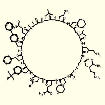 CC(C)C[C@H]1NC(=O)[C@H](C)N(C)C(=O)C(CCC(N)=O)NC(=O)[C@H](Cc2ccc(-c3ccccc3)cc2)NC(=O)[C@H](CCc2ccccc2)NC(=O)C(Cc2cccc(C(F)(F)F)c2)NC(=O)[C@H](CC(=O)O)NC(=O)C(CCC(N)=O)NC(=O)C(CN2CCOCC2)NC(=O)CSC[C@@H](C(=O)C[C@@H](CCN)C(N)=O)NC(=O)C(CCCN)NC(=O)C(C(C)C)NC(=O)C(CC2CCCCC2)NC(=O)[C@H](CCN)NC1=O